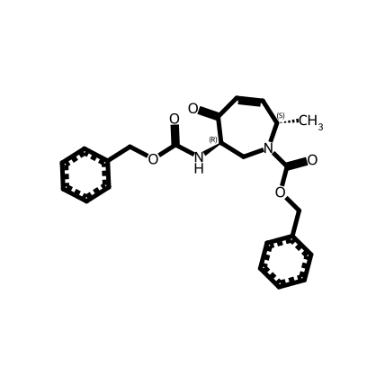 C[C@H]1C=CC(=O)[C@H](NC(=O)OCc2ccccc2)CN1C(=O)OCc1ccccc1